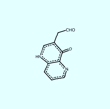 O=CCc1c[nH]c2cccnc2c1=O